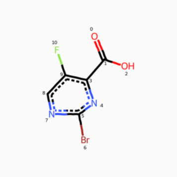 O=C(O)c1nc(Br)ncc1F